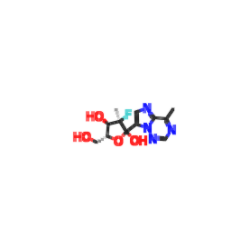 Cc1ncnn2c(C3(O)O[C@H](CO)[C@@H](O)[C@@]3(C)F)cnc12